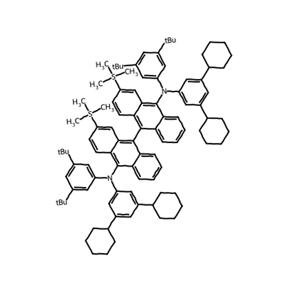 CC(C)(C)c1cc(N(c2cc(C3CCCCC3)cc(C3CCCCC3)c2)c2c3ccccc3c(-c3c4ccccc4c(N(c4cc(C5CCCCC5)cc(C5CCCCC5)c4)c4cc(C(C)(C)C)cc(C(C)(C)C)c4)c4cc(S(C)(C)C)ccc34)c3cc(S(C)(C)C)ccc23)cc(C(C)(C)C)c1